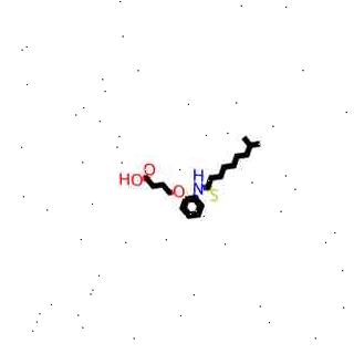 CC(C)CCCCCCC(=S)Nc1ccccc1OCCCC(=O)O